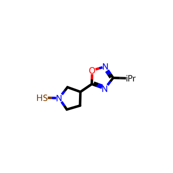 CC(C)c1noc(C2CCN(S)C2)n1